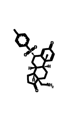 Cc1ccc(S(=O)(=O)[C@H]2C[C@H]3[C@@H]4CCC(=O)[C@@]4(CN)CC[C@@H]3[C@@]3(C)C=CC(=O)C=C23)cc1